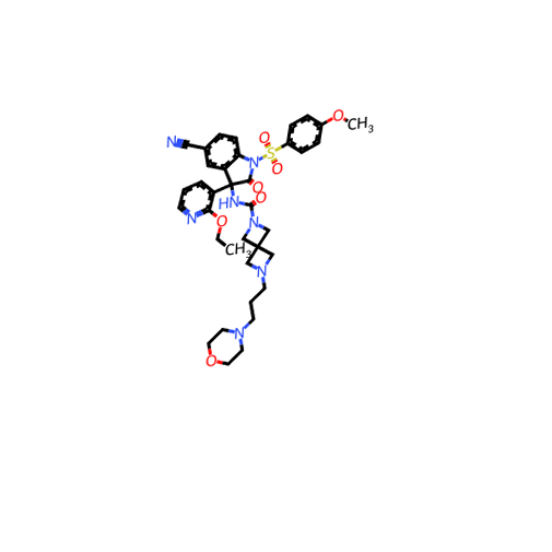 CCOc1ncccc1C1(NC(=O)N2CC3(CN(CCCN4CCOCC4)C3)C2)C(=O)N(S(=O)(=O)c2ccc(OC)cc2)c2ccc(C#N)cc21